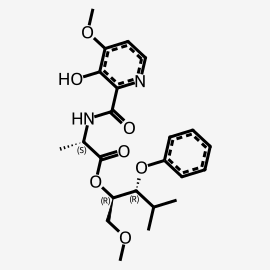 COC[C@@H](OC(=O)[C@H](C)NC(=O)c1nccc(OC)c1O)[C@H](Oc1ccccc1)C(C)C